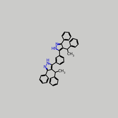 CC(c1ccccc1)c1c(-c2ccccc2)n[nH]c1-c1cccc(-c2[nH]nc(-c3ccccc3)c2C(C)c2ccccc2)c1